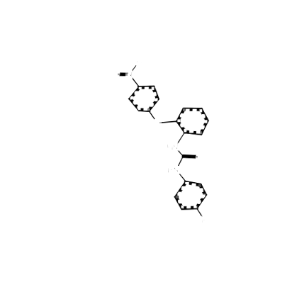 O=C(Nc1ccc(F)cc1)Nc1ccccc1Oc1ccc([N+](=O)[O-])cc1